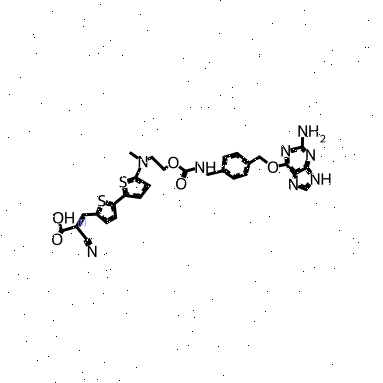 CN(CCOC(=O)NCc1ccc(COc2nc(N)nc3[nH]cnc23)cc1)c1ccc(-c2ccc(/C=C(\C#N)C(=O)O)s2)s1